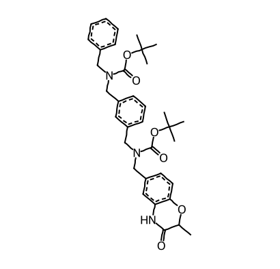 CC1Oc2ccc(CN(Cc3cccc(CN(Cc4ccccc4)C(=O)OC(C)(C)C)c3)C(=O)OC(C)(C)C)cc2NC1=O